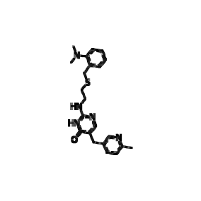 Cc1ccc(Cc2cnc(NCCSCc3ccccc3N(C)C)[nH]c2=O)cn1